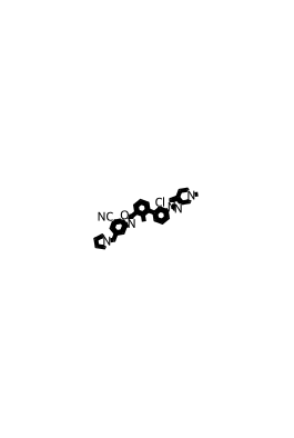 Cc1c(-c2nc3cc(CN4CCCC4)cc(C#N)c3o2)cccc1-c1cccc(-n2cc3c(n2)CN(C)CC3)c1Cl